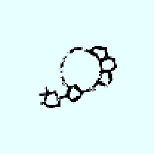 CC1(C)CN(c2ccc3cc2OCCOCCOc2ccc4c(c2)-c2nc(ncc2CC4)N3)CCN1